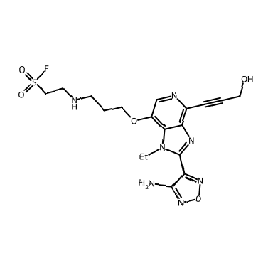 CCn1c(-c2nonc2N)nc2c(C#CCO)ncc(OCCCNCCS(=O)(=O)F)c21